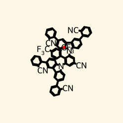 N#Cc1cc(-n2c3ccc(-c4ccccc4C#N)cc3c3cc(-c4ccccc4C#N)ccc32)c(-c2ccc(C(F)(F)F)cc2C(F)(F)F)c(-n2c3ccc(-c4ccccc4C#N)cc3c3cc(-c4ccccc4C#N)ccc32)c1